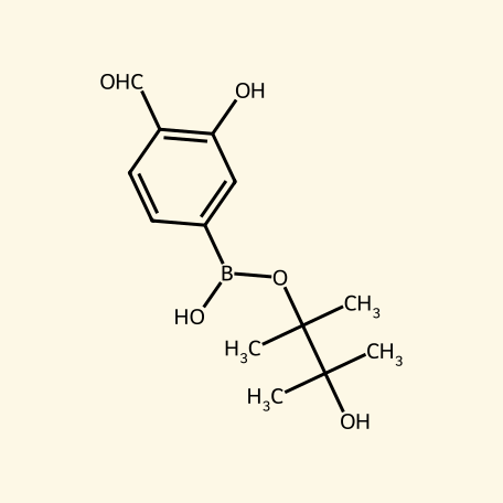 CC(C)(O)C(C)(C)OB(O)c1ccc(C=O)c(O)c1